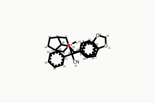 C[N+]1(Cc2ccc3c(c2)OCO3)CC2CCC(C1)C2CC(C#N)(c1ccccc1)c1ccccc1